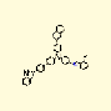 C=Cc1ccccc1/C=C/c1ccc(N(c2ccc(-c3ccc(-c4cnc5ccccc5c4)cc3)cc2)c2ccc(-c3ccc4ccccc4c3)cc2)cc1